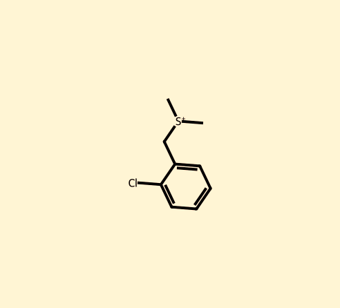 C[S+](C)Cc1ccccc1Cl